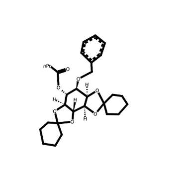 CCCC(=O)O[C@@H]1[C@@H](OCc2ccccc2)[C@H]2OC3(CCCCC3)O[C@H]2[C@@H]2OC3(CCCCC3)O[C@@H]12